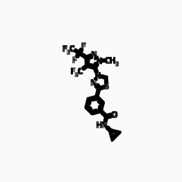 Cn1nc(C(F)(F)C(F)(F)F)c(C(F)(F)F)c1N1CSC(c2cccc(C(=O)NC3CC3)c2)=N1